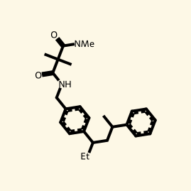 CCC(CC(C)c1ccccc1)c1ccc(CNC(=O)C(C)(C)C(=O)NC)cc1